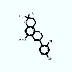 COc1cc2c(c3c1C=C(c1ccc(O)cc1O)CO3)CCC(C)(C)O2